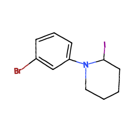 Brc1cccc(N2CCCCC2I)c1